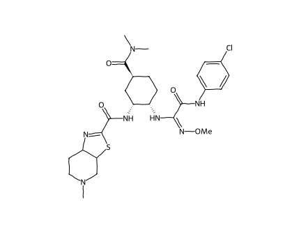 CO/N=C(/N[C@H]1CC[C@H](C(=O)N(C)C)C[C@H]1NC(=O)C1=NC2CCN(C)CC2S1)C(=O)Nc1ccc(Cl)cc1